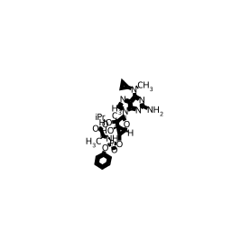 CC(C)OC(=O)[C@@H](C)N[P@@](=O)(Oc1ccccc1)OC1[C@H]2O[C@@H](n3cnc4c(N(C)C5CC5)nc(N)nc43)[C@](C)(O)[C@@]12O